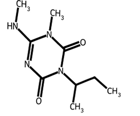 CCC(C)n1c(=O)nc(NC)n(C)c1=O